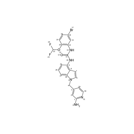 Nc1cc(Cn2ccc3c(NC(=O)Nc4cc(Br)ccc4OC(F)F)cccc32)ccn1